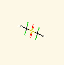 CC(Cl)(Cl)S(=O)(=O)C(C)(Cl)Cl